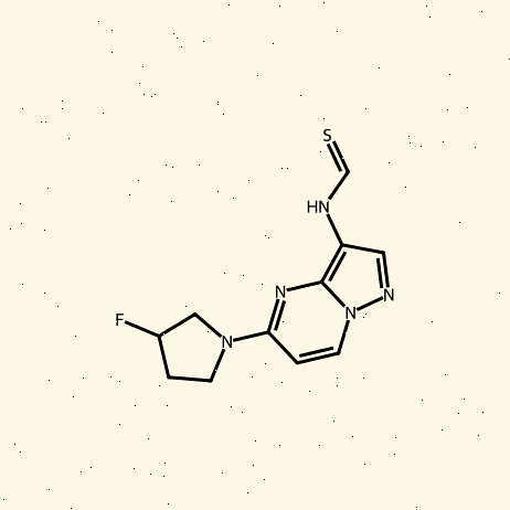 FC1CCN(c2ccn3ncc(NC=S)c3n2)C1